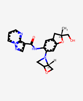 C[C@]1(CO)Cc2cc(NC(=O)c3cnn4cccnc34)c(N3CC4OC[C@H]43)cc2O1